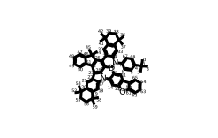 CC(C)(C)c1ccc(N2B3c4cc5c(cc4-n4c6cc7c(cc6c6c8c(c(c3c64)-c3cc4c(cc32)C(C)(C)CCC4(C)C)C(C)(C)c2ccccc2-8)C(C)(C)CCC7(C)C)oc2ccccc25)cc1